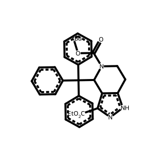 CCOC(=O)c1n[nH]c2c1C(C(c1ccccc1)(c1ccccc1)c1ccccc1)N(C(=O)OC(C)(C)C)CC2